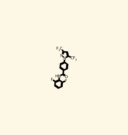 O=C(Nc1c(F)cccc1F)c1ccc(-n2nc(C(F)(F)F)cc2C(F)(F)F)cc1